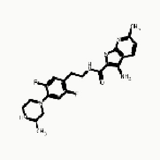 Cc1ccc2c(N)c(C(=O)NCCc3cc(F)c(N4CCN[C@H](C)C4)cc3F)sc2n1